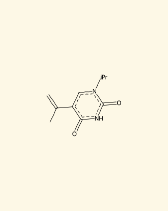 C=C(C)c1cn(C(C)C)c(=O)[nH]c1=O